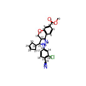 COC(=O)c1ccc2c(c1)OCC1C2=NN(c2ccc(C#N)c(Cl)c2)C1C1CC=CC1